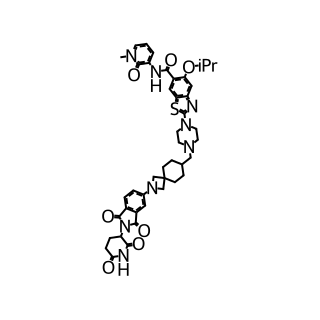 CC(C)Oc1cc2nc(N3CCN(CC4CCC5(CC4)CN(c4ccc6c(c4)C(=O)N(C4CCC(=O)NC4=O)C6=O)C5)CC3)sc2cc1C(=O)Nc1cccn(C)c1=O